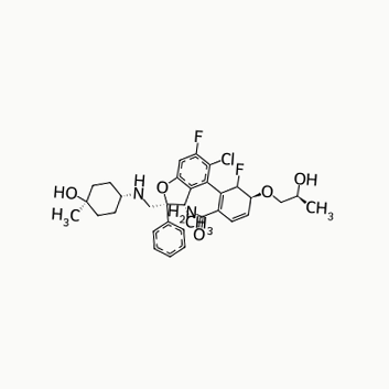 C[C@H](O)CO[C@H]1C=CC(C(N)=O)=C(c2c(Cl)c(F)cc3c2[C@H](C)[C@@](CN[C@H]2CC[C@](C)(O)CC2)(c2ccccc2)O3)C1F